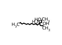 CCCCCCCCCCCC(N)(CC(C)O)CC(C)O